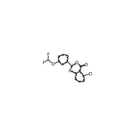 O=c1oc(-c2cccc(OC(F)F)c2)nc2cccc(Cl)c12